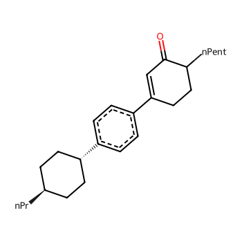 CCCCCC1CCC(c2ccc([C@H]3CC[C@H](CCC)CC3)cc2)=CC1=O